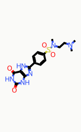 CN(C)CCN(C)S(=O)(=O)c1ccc(-c2nc3[nH]c(=O)[nH]c(=O)c3[nH]2)cc1